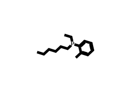 CCCCCCP(CC)c1ccccc1C